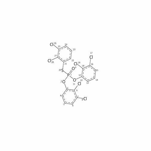 O=P(Oc1cccc(Cl)c1Cl)(Oc1cccc(Cl)c1Cl)Sc1cccc(Cl)c1Cl